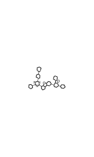 c1ccc(-c2ccc(-c3nc(-c4ccccc4)nc(-c4cccc5c4oc4ccc(-c6ccc(-c7ccccc7)c7oc8ccccc8c67)cc45)n3)cc2)cc1